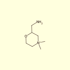 C[N+]1(C)CCOC(CN)C1